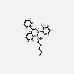 CCCCCNCC(N=C(c1ccccc1)c1ccccc1)c1ccccc1C